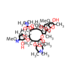 CON=C1C[C@@H](C)O[C@@H](O[C@@H]2[C@@H](C)[C@H](O[C@H]3C[C@@H](C)N(C)C[C@H](C)O3)[C@@H](C)C(=O)O[C@H]([C@@H](C)CO[C@@H]3O[C@H](C)[C@@H](O)[C@@H](OC)[C@H]3OC)[C@H](C)[C@@H](OC(=O)CC(C)C)[C@@H](C)C(=O)[C@@](C)(OC(=O)N(C)C)C[C@@H]2C)[C@@H]1O